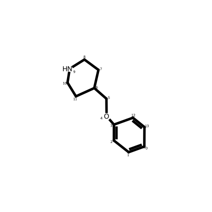 [c]1ccc(OCC2CCNCC2)cc1